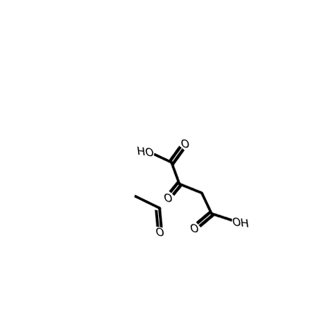 CC=O.O=C(O)CC(=O)C(=O)O